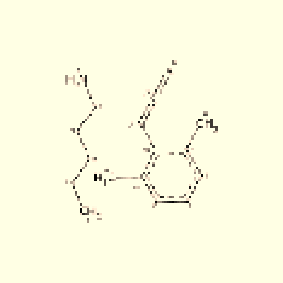 CCCCCN.Cc1cccc(C)c1N=C=S